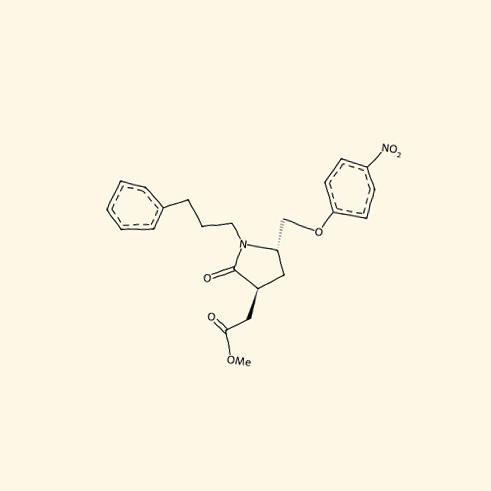 COC(=O)C[C@@H]1C[C@@H](COc2ccc([N+](=O)[O-])cc2)N(CCCc2ccccc2)C1=O